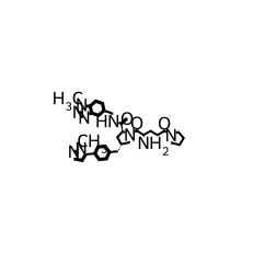 Cn1nccc1-c1ccc(C[C@@H]2C[C@@H](C(=O)NCc3ccc4c(c3)nnn4C)N(C(=O)[C@H](N)CCC(=O)N3CCCC3)C2)cc1